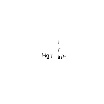 [Hg].[I-].[I-].[I-].[In+3]